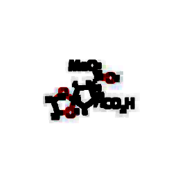 COC(=O)[C@H]1CC2(C[C@H]1C(=O)O)OCCO2